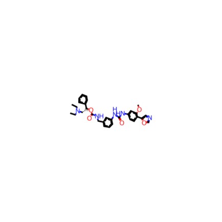 CCN(CC)C[C@@H](OC(=O)NCc1cccc(NC(=O)Nc2ccc(-c3cnco3)c(OC)c2)c1)c1ccccc1